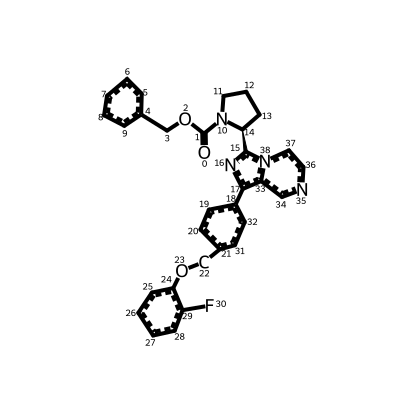 O=C(OCc1ccccc1)N1CCC[C@H]1c1nc(-c2ccc(COc3ccccc3F)cc2)c2cnccn12